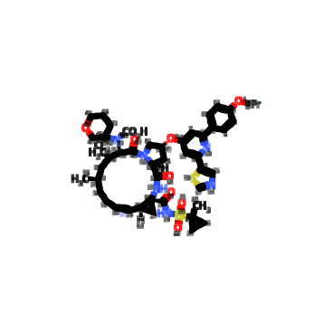 CC(C)Oc1ccc(-c2cc(O[C@@H]3C[C@H]4C(=O)N[C@]5(C(=O)NS(=O)(=O)C6(C)CC6)C[C@H]5/C=C\CC[C@@H](C)C[C@@H](C)[C@H](N(C(=O)O)C5(C(F)(F)F)CCCOC5)C(=O)N4C3)cc(-c3cncs3)n2)cc1